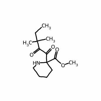 CCC(C)(C)C(=O)C(=O)C1(C(=O)OC)CCCCN1